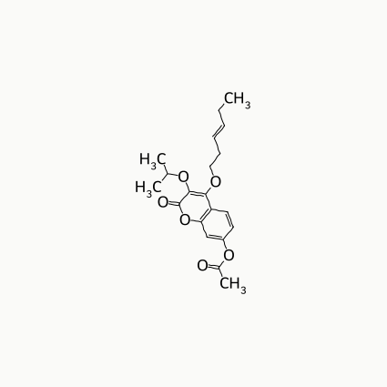 CCC=CCCOc1c(OC(C)C)c(=O)oc2cc(OC(C)=O)ccc12